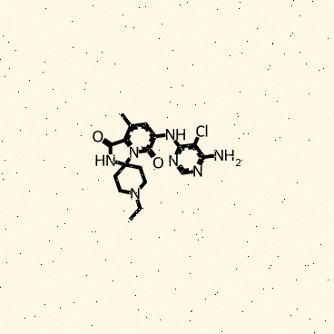 CCN1CCC2(CC1)NC(=O)c1c(C)cc(Nc3ncnc(N)c3Cl)c(=O)n12